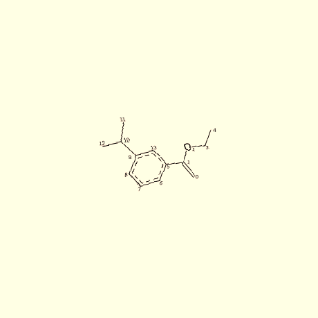 C=C(OCC)c1cccc(C(C)C)c1